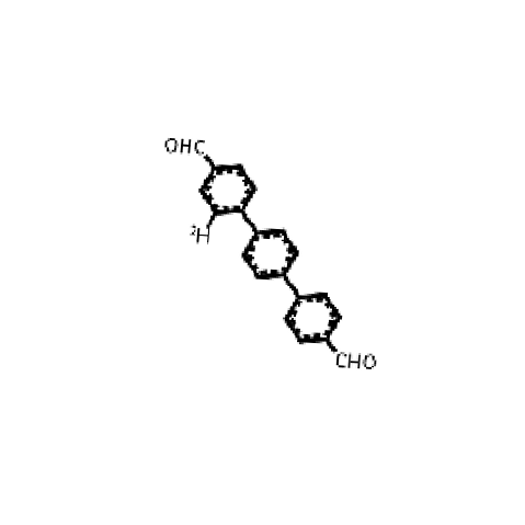 [2H]c1cc(C=O)ccc1-c1ccc(-c2ccc(C=O)cc2)cc1